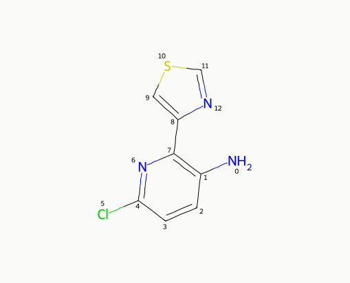 Nc1ccc(Cl)nc1-c1cscn1